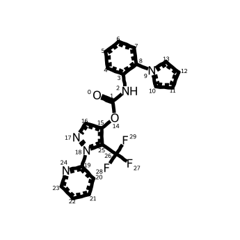 O=C(Nc1ccccc1-n1cccc1)Oc1cnn(-c2ccccn2)c1C(F)(F)F